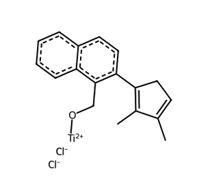 CC1=CCC(c2ccc3ccccc3c2C[O][Ti+2])=C1C.[Cl-].[Cl-]